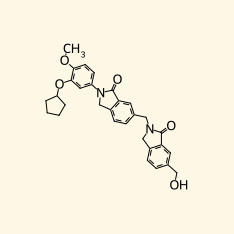 COc1ccc(N2Cc3ccc(CN4Cc5ccc(CO)cc5C4=O)cc3C2=O)cc1OC1CCCC1